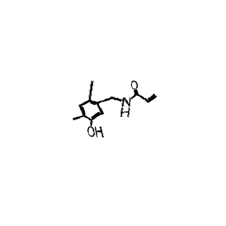 C=CC(=O)NCc1cc(O)c(C)cc1C